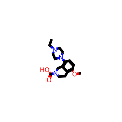 CCN1CCN(c2ccc(OC)c3c2CN(C(=O)O)CC3)CC1